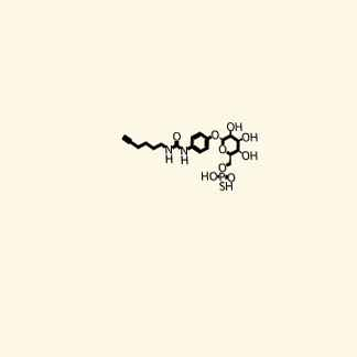 C#CCCCCNC(=O)Nc1ccc(O[C@H]2O[C@H](COP(=O)(O)S)[C@@H](O)[C@H](O)[C@@H]2O)cc1